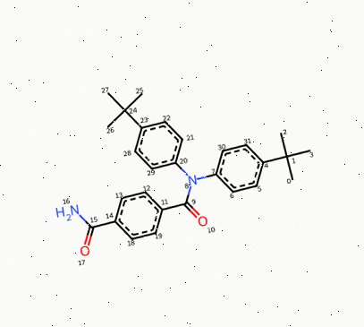 CC(C)(C)c1ccc(N(C(=O)c2ccc(C(N)=O)cc2)c2ccc(C(C)(C)C)cc2)cc1